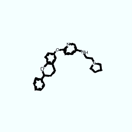 c1ccc(C2CCc3cc(Oc4ccc(NCCN5CCCC5)cn4)ccc3O2)cc1